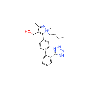 CCCC[N+]1(C)N=C(C)C(CO)=C1c1ccc(-c2ccccc2-c2nnn[nH]2)cc1